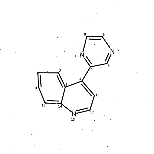 c1ccc2c(-c3cnccn3)ccnc2c1